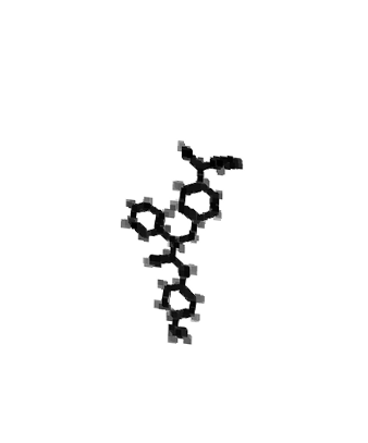 COC(=O)c1ccc(CN(C(=O)Oc2ccc([N+](=O)[O-])cc2)c2cccnc2)cc1